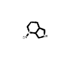 O=NN1CCCC2CNCC21